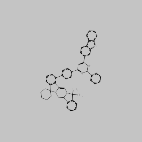 CC1(C)c2ccccc2C2CC3C(=CC21)c1c(-c2ccc(C4=NC(c5ccccc5)NC(c5ccc6c(c5)oc5ccccc56)=C4)cc2)cccc1C31CCCCC1